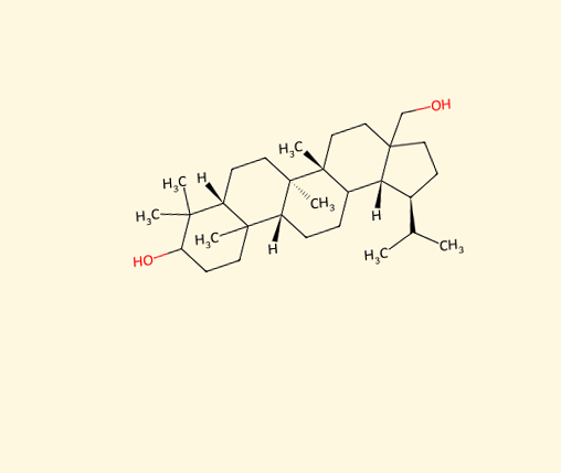 CC(C)[C@@H]1CCC2(CO)CC[C@]3(C)C(CC[C@@H]4C5(C)CCC(O)C(C)(C)[C@@H]5CC[C@]43C)[C@@H]12